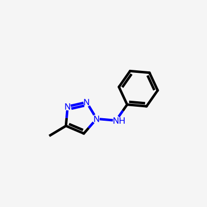 Cc1cn(Nc2ccccc2)nn1